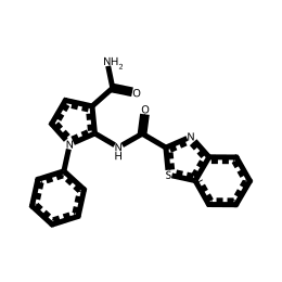 NC(=O)c1ccn(-c2ccccc2)c1NC(=O)c1nc2ccccc2s1